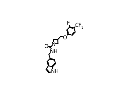 O=C(NCc1ccc2[nH]ccc2c1)N1CC(COc2ccc(C(F)(F)F)c(F)c2)C1